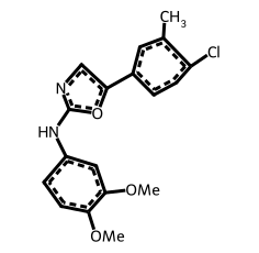 COc1ccc(Nc2ncc(-c3ccc(Cl)c(C)c3)o2)cc1OC